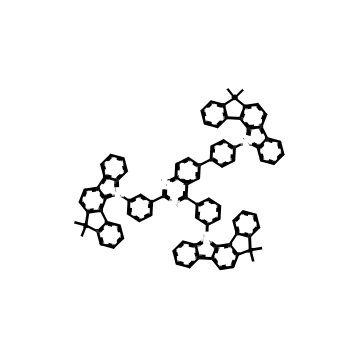 CC1(C)c2ccccc2-c2c1ccc1c3ccccc3n(-c3ccc(-c4ccc5nc(-c6cccc(-n7c8ccccc8c8ccc9c(c87)-c7ccccc7C9(C)C)c6)nc(-c6cccc(-n7c8ccccc8c8ccc9c(c87)-c7ccccc7C9(C)C)c6)c5c4)cc3)c21